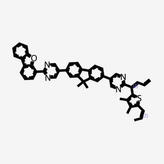 C=C/C=C(/c1ncc(-c2ccc3c(c2)C(C)(C)c2cc(-c4cnc(-c5cccc6c5oc5ccccc56)nc4)ccc2-3)cn1)c1sc(/C=C\C)c(C)c1C